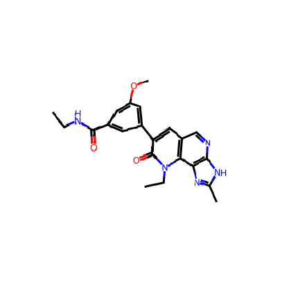 CCNC(=O)c1cc(OC)cc(-c2cc3cnc4[nH]c(C)nc4c3n(CC)c2=O)c1